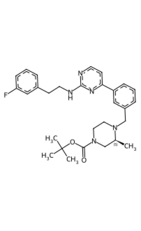 C[C@H]1CN(C(=O)OC(C)(C)C)CCN1Cc1cccc(-c2ccnc(NCCc3cccc(F)c3)n2)c1